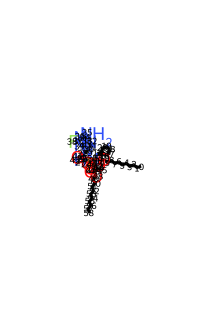 CCCCCCCCCCOC(=O)[C@H](Cc1ccccc1)NP(=O)(OC[C@](C)(CCn1cnc2c(N)nc(F)nc21)OC)O[C@@H](C)C(=O)OCCCCCCCCCC